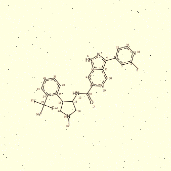 Cc1cc(-c2n[nH]c3cc(C(=O)NC4CN(C)CC4c4ccccc4C(F)(F)F)ncc23)ccn1